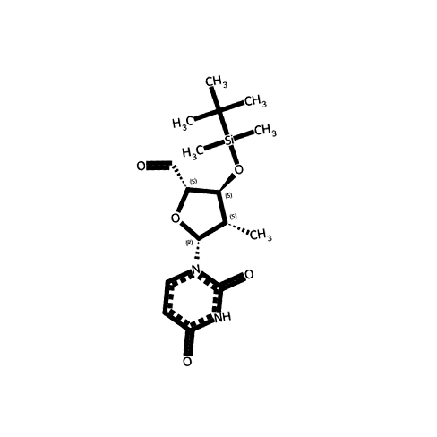 C[C@H]1[C@H](O[Si](C)(C)C(C)(C)C)[C@@H](C=O)O[C@H]1n1ccc(=O)[nH]c1=O